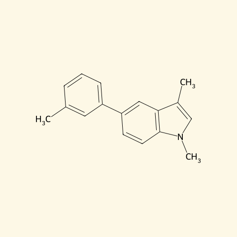 Cc1cccc(-c2ccc3c(c2)c(C)cn3C)c1